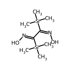 C[Si](C)(C)C(=NO)C(=NO)[Si](C)(C)C